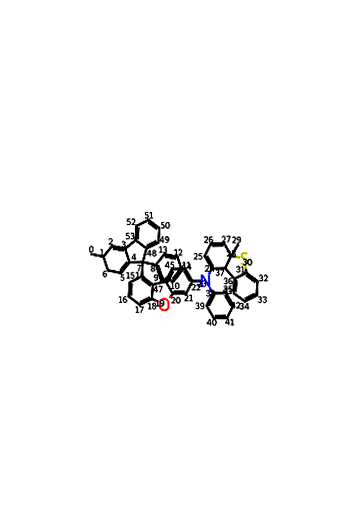 CC1C=C2C(=CC1)C(c1ccccc1)(c1cccc3oc4cc(N(C5=CC=CC6(C)Sc7ccccc7C56)c5ccccc5)ccc4c13)c1ccccc12